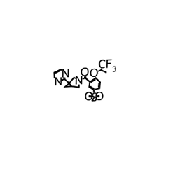 CC(Oc1ccc(S(C)(=O)=O)cc1C(=O)N1CC2CC2(c2ncccn2)C1)C(F)(F)F